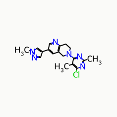 Cc1nc(Cl)c(C)c(N2CCc3ncc(-c4cnn(C)c4)cc3C2)n1